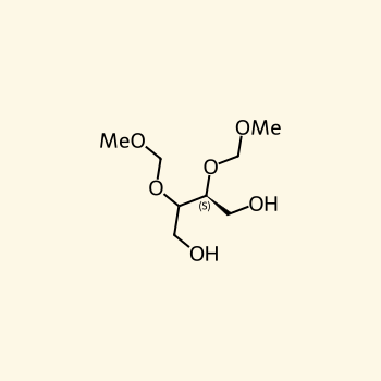 COCOC(CO)[C@H](CO)OCOC